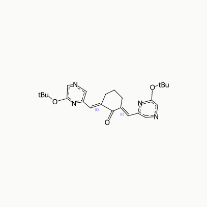 CC(C)(C)Oc1cncc(/C=C2\CCC/C(=C\c3cncc(OC(C)(C)C)n3)C2=O)n1